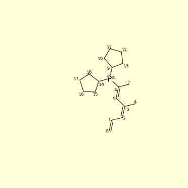 C=C/C=C(C)\C=C(/C)P(C1CCCC1)C1CCCC1